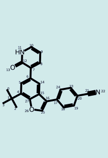 CC(C)(C)c1cc(-c2ccc[nH]c2=O)cc2c(-c3ccc(C#N)cc3)coc12